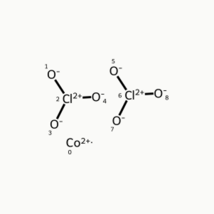 [Co+2].[O-][Cl+2]([O-])[O-].[O-][Cl+2]([O-])[O-]